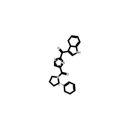 O=C(C1=CNC2=CC=CCC21)c1nc(C(=O)N2CCC[C@H]2C2=CC=CCC2)cs1